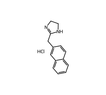 Cl.c1ccc2cc(CC3=NCCN3)ccc2c1